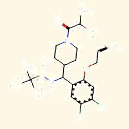 C=CCOc1cc(Cl)c(Cl)cc1C(N[S@@+]([O-])C(C)(C)C)C1CCN(C(=O)C(C)O)CC1